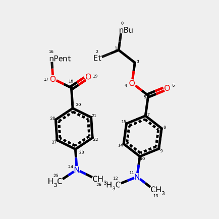 CCCCC(CC)COC(=O)c1ccc(N(C)C)cc1.CCCCCOC(=O)c1ccc(N(C)C)cc1